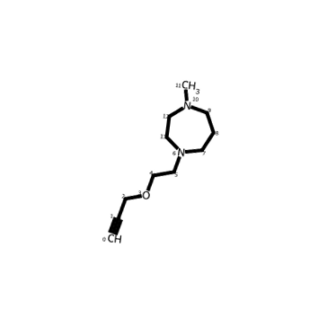 C#CCOCCN1CCCN(C)CC1